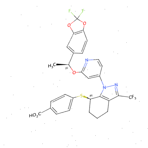 C[C@H](Oc1cc(-n2nc(C(F)(F)F)c3c2[C@H](Sc2ccc(C(=O)O)cc2)CCC3)ccn1)c1ccc2c(c1)OC(F)(F)O2